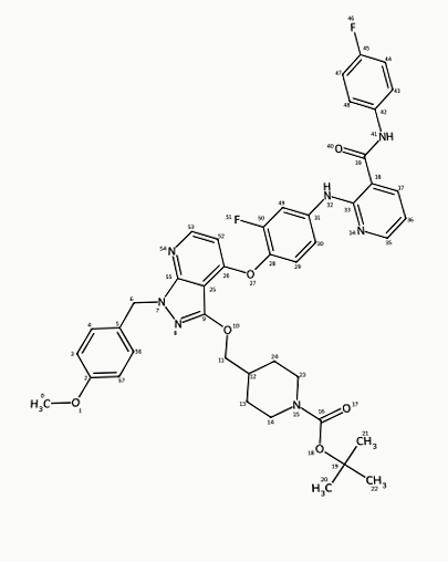 COc1ccc(Cn2nc(OCC3CCN(C(=O)OC(C)(C)C)CC3)c3c(Oc4ccc(Nc5ncccc5C(=O)Nc5ccc(F)cc5)cc4F)ccnc32)cc1